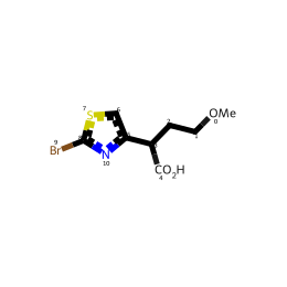 COCCC(C(=O)O)c1csc(Br)n1